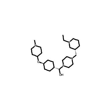 CCN1CCC[C@H](CN2CCN(C(O)[C@H]3CC[C@H](OC4CCN(C)CC4)CC3)CC2)C1